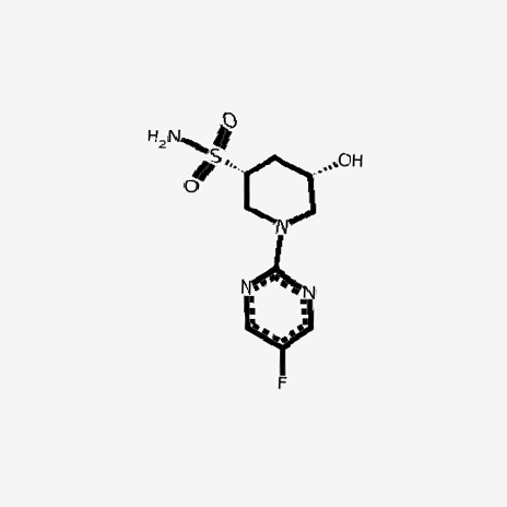 NS(=O)(=O)[C@@H]1C[C@H](O)CN(c2ncc(F)cn2)C1